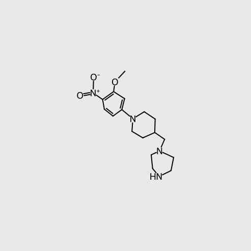 COc1cc(N2CCC(CN3CCNCC3)CC2)ccc1[N+](=O)[O-]